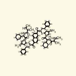 CN[C@@H](C)C(=O)N[C@H](C(=O)N1C[C@@H](N)C[C@H]1CN(CCc1ccccc1)C(=O)c1ccc2cc(C(=O)N(CCc3ccccc3)C[C@@H]3C[C@H](N)CN3C(=O)[C@@H](NC(=O)[C@H](C)NC)C3CCCCC3)ccc2c1)C1CCCCC1